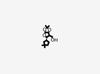 CC1(C)CCC([C@H]2OC3OC(C)(C)OC3C2CO)C1